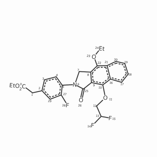 CCOC(=O)Cc1ccc(N2Cc3c(c(OCC(F)F)c4ccccc4c3OCC)C2=O)c(F)c1